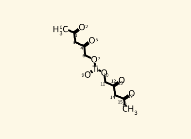 CC(=O)CC(=O)C[O][Ti](=[O])[O]CC(=O)CC(C)=O